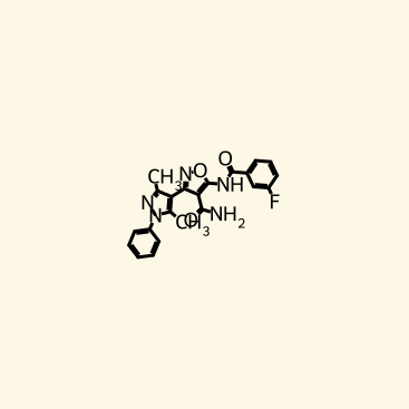 Cc1nn(-c2ccccc2)c(C)c1-c1noc(NC(=O)c2cccc(F)c2)c1C(N)=O